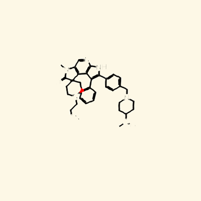 CN1C(=O)C2(CCN(CCC#N)CC2)c2c1cnc1[nH]c(-c3ccc(CN4CCC([S+](C)[O-])CC4)cc3)c(-c3ccccc3)c21